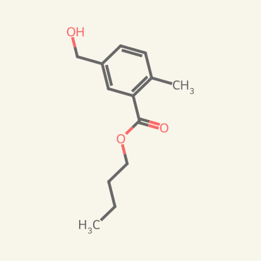 CCCCOC(=O)c1cc(CO)ccc1C